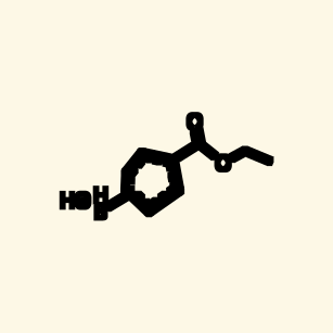 CCOC(=O)c1ccc(BO)cc1